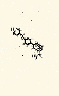 CNC(=O)C1C2CC3CC1CC(c1ccc(OCC(=CF)CN)cc1)(C3)C2